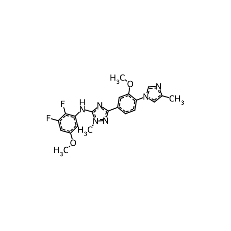 COc1cc(F)c(F)c(Nc2nc(-c3ccc(-n4cnc(C)c4)c(OC)c3)nn2C)c1